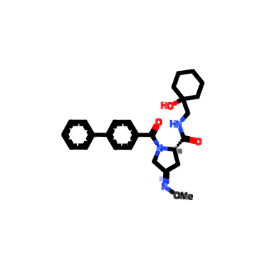 CO/N=C1\C[C@@H](C(=O)NCC2(O)CCCCC2)N(C(=O)c2ccc(-c3ccccc3)cc2)C1